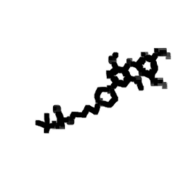 COc1cc(N2CCN(CCCCOC(=O)NC(C)(C)C)CC2)nc(OC)c1Sc1nc(N)cc(N)n1